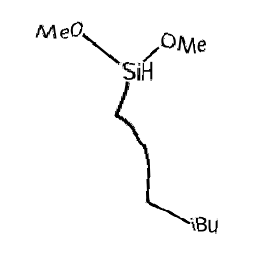 CCC(C)CCC[SiH](OC)OC